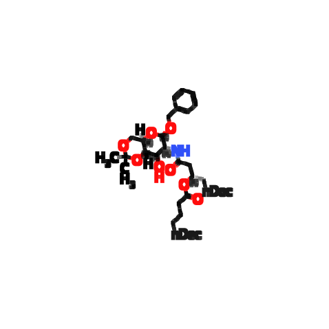 CCCCCCCCCCCCCC(=O)O[C@@H](CCCCCCCCCCC)CC(=O)N[C@H]1[C@H](OCc2ccccc2)O[C@@H]2COC(C)(C)O[C@H]2[C@@H]1O